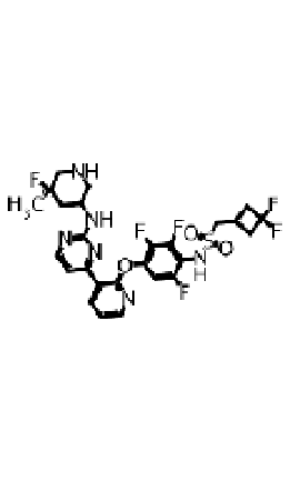 C[C@@]1(F)CNCC(Nc2nccc(-c3cccnc3Oc3cc(F)c(NS(=O)(=O)CC4CC(F)(F)C4)c(F)c3F)n2)C1